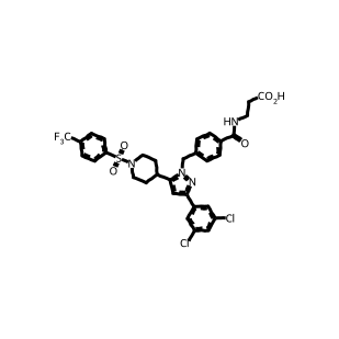 O=C(O)CCNC(=O)c1ccc(Cn2nc(-c3cc(Cl)cc(Cl)c3)cc2C2CCN(S(=O)(=O)c3ccc(C(F)(F)F)cc3)CC2)cc1